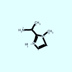 CC(N)c1nccn1C.I